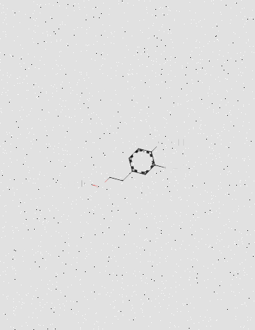 O=COCCc1ccc(C(=O)O)c(C=O)c1